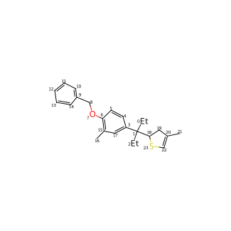 CCC(CC)(c1ccc(OCc2ccccc2)c(C)c1)C1CC(C)=CS1